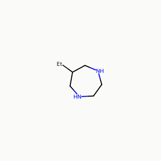 CCC1CNCCNC1